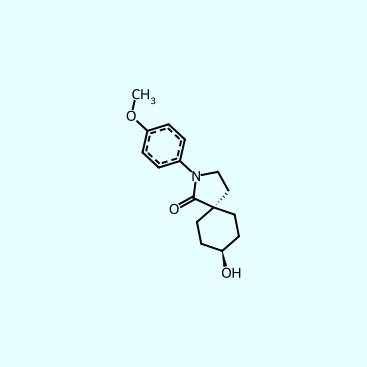 COc1ccc(N2CC[C@]3(CC[C@H](O)CC3)C2=O)cc1